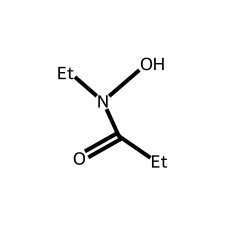 CCC(=O)N(O)CC